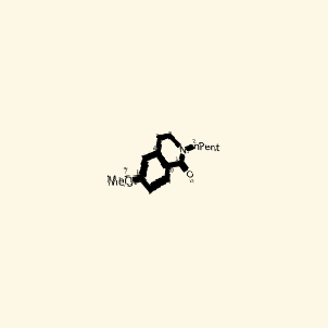 CCCCCN1CCc2cc(OC)ccc2C1=O